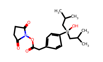 CC(C)C[Si](O)(CC(C)C)c1ccc(CC(=O)ON2C(=O)CCC2=O)cc1